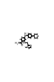 Cn1ccnc1CNc1cc(Nc2ccc(C3CCOCC3)cc2)ncc1C(N)=O